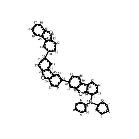 c1ccc(N(c2ccccc2)c2cccc3c2oc2cc(-c4ccc5oc6ccc(-c7ccc8oc9ccccc9c8c7)cc6c5c4)ccc23)cc1